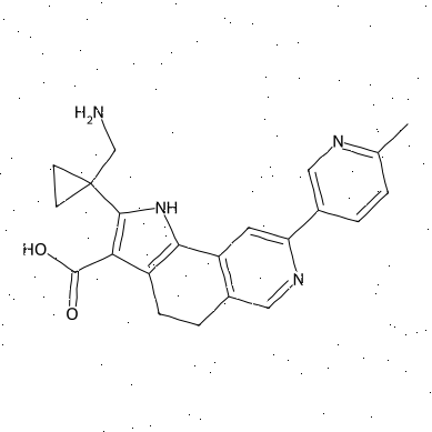 Cc1ccc(-c2cc3c(cn2)CCc2c-3[nH]c(C3(CN)CC3)c2C(=O)O)cn1